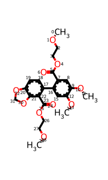 COCCOC(=O)c1cc(OC)c(OC)cc1-c1ccc2c(c1C(=O)OCCOC)OCO2